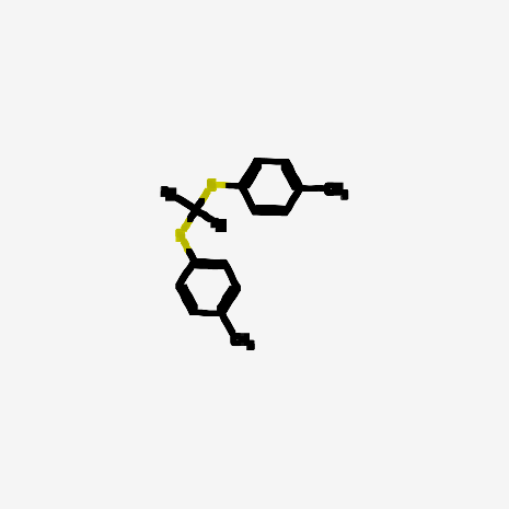 [2H]C([2H])(Sc1ccc(C)cc1)Sc1ccc(C)cc1